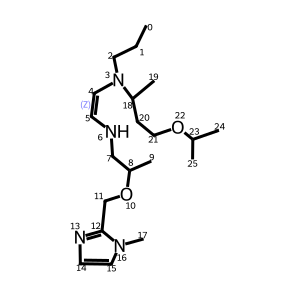 CCCN(/C=C\NCC(C)OCc1nccn1C)C(C)CCOC(C)C